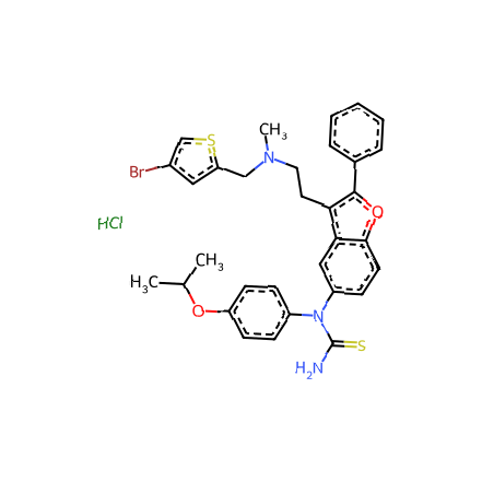 CC(C)Oc1ccc(N(C(N)=S)c2ccc3oc(-c4ccccc4)c(CCN(C)Cc4cc(Br)cs4)c3c2)cc1.Cl